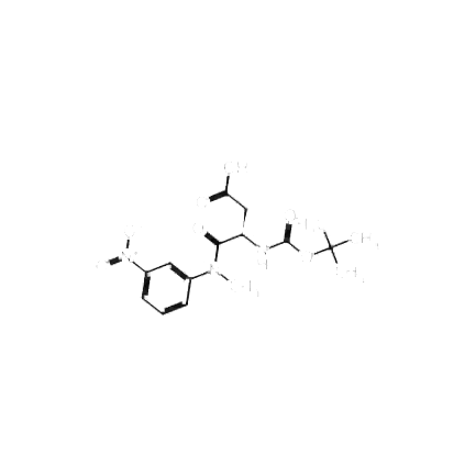 CN(C(=O)[C@@H](CC(=O)O)NC(=O)OC(C)(C)C)c1cccc([N+](=O)[O-])c1